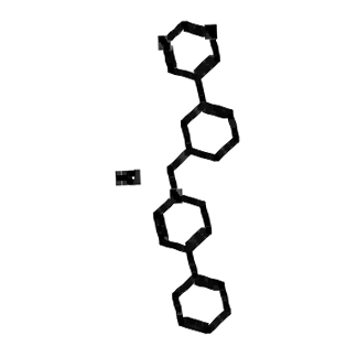 C1=CCC(C2=CCN(CC3CCC=C(c4cncnc4)C3)C=C2)=CC1.Cl